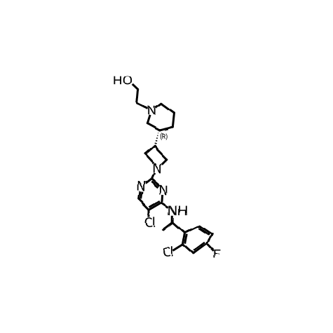 CC(Nc1nc(N2CC([C@H]3CCCN(CCO)C3)C2)ncc1Cl)c1ccc(F)cc1Cl